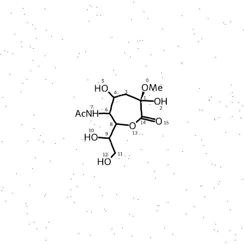 CO[C@]1(O)CC(O)C(NC(C)=O)C(C(O)CO)OC1=O